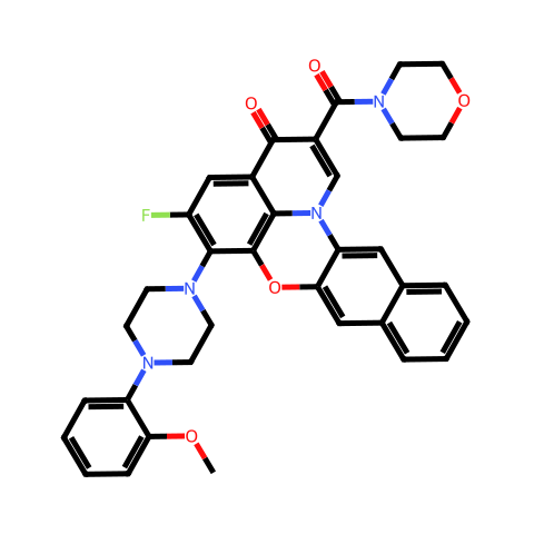 COc1ccccc1N1CCN(c2c(F)cc3c(=O)c(C(=O)N4CCOCC4)cn4c3c2Oc2cc3ccccc3cc2-4)CC1